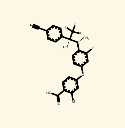 C[C@H](c1ccc(Oc2ccc(C(=O)O)c(Cl)c2)cc1Cl)[C@@](O)(c1ccc(C#N)cc1)C(F)(F)F